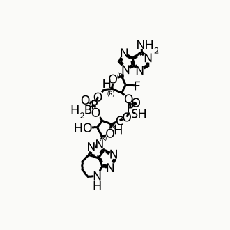 BP1(=O)OC[C@H]2O[C@@H](n3cnc4c(N)ncnc43)C(F)C2OP(=O)(S)OC[C@H]2O[C@@H](n3nc4c5c(ncnc53)NCCC4)C(O)C2O1